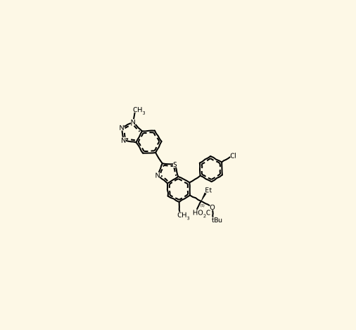 CC[C@@](OC(C)(C)C)(C(=O)O)c1c(C)cc2nc(-c3ccc4c(c3)nnn4C)sc2c1-c1ccc(Cl)cc1